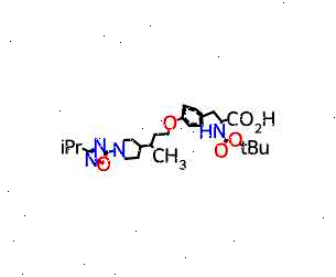 CC(C)c1noc(N2CCC(C(C)CCOc3ccc(CC(NC(=O)OC(C)(C)C)C(=O)O)cc3)CC2)n1